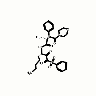 C=C(C(=O)[C@H](CCCCN)NC(=O)[C@H](C)N(C(=O)N1CCOCC1)c1ccccc1)S(=O)(=O)c1ccccc1